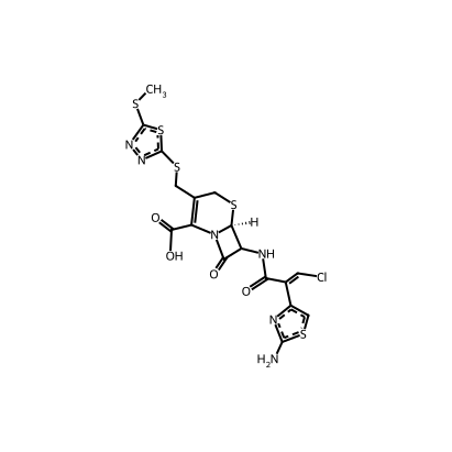 CSc1nnc(SCC2=C(C(=O)O)N3C(=O)C(NC(=O)C(=CCl)c4csc(N)n4)[C@@H]3SC2)s1